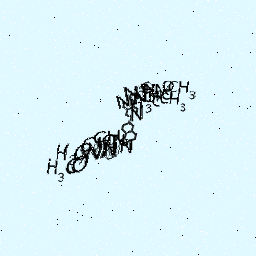 COC(=O)N[C@H](C(=O)N1CCC[C@H]1c1nc2ccc3cc(-c4cc5cnc6nc([C@@H]7CCCN7C(=O)[C@@H](NC(=O)OC)C(C)C)[nH]c6c5cn4)ccc3c2[nH]1)C(C)C